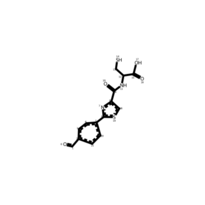 O=Cc1ccc(-c2nc(C(=O)NC(CS)C(=O)O)cs2)cc1